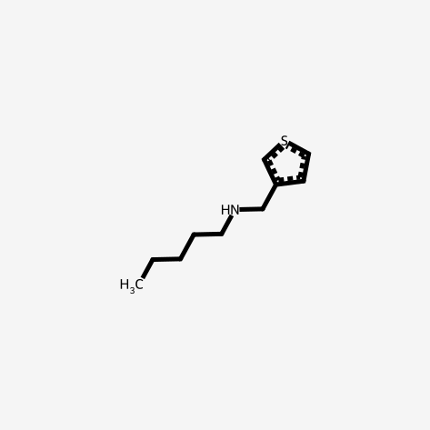 CCCCCNCc1ccsc1